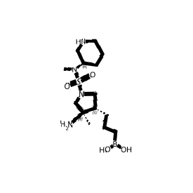 CN([C@@H]1CCCNC1)S(=O)(=O)N1C[C@H](CCCB(O)O)[C@@](C)(N)C1